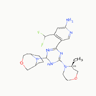 C[C@H]1COCCN1C1=NC(c2cnc(N)cc2C(F)F)=NC(N2C3CCC2COC3)N1